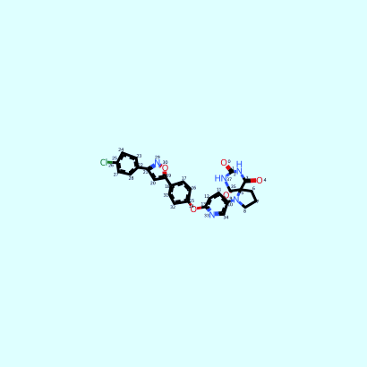 O=C1NC(=O)C2(CCCN2c2ccc(Oc3ccc(-c4cc(-c5ccc(Cl)cc5)no4)cc3)nc2)C(=O)N1